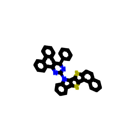 c1ccc(-c2nc(-n3c4ccccc4c4sc5c(sc6ccc7ccccc7c65)c43)nc3c4ccccc4c4ccccc4c23)cc1